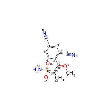 CO[C@H](c1ccc(C#N)cc1C#N)[C@@H](C)S(N)(=O)=O